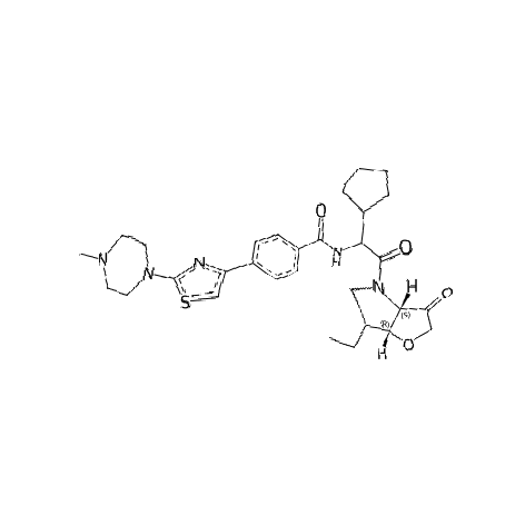 CCC1CN(C(=O)C(NC(=O)c2ccc(-c3csc(N4CCN(C)CC4)n3)cc2)C2CCCC2)[C@@H]2C(=O)CO[C@H]12